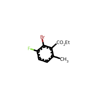 CCOC(=O)c1c(C)ccc(F)c1Br